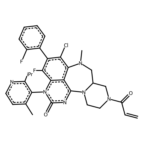 C=CC(=O)N1CCN2c3nc(=O)n(-c4c(C)ccnc4C(C)C)c4c(F)c(-c5ccccc5F)c(Cl)c(c34)N(C)CC2C1